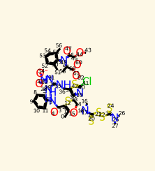 CC1=C(C(=O)Nc2ccccc2)SCCO1.CN(C)C(=S)SSC(=S)N(C)C.CN/C(=N\[N+](=O)[O-])NCc1cnc(Cl)s1.COCC(=O)N(c1c(C)cccc1C)C(C)C(=O)OC